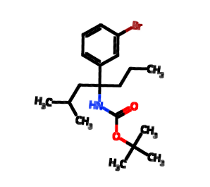 CCCC(CC(C)C)(NC(=O)OC(C)(C)C)c1cccc(Br)c1